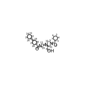 O=C(c1ccccc1)N1CCN(C2CN(C(=O)c3ccc(-c4ccccc4)cc3)C2)C(CO)C1